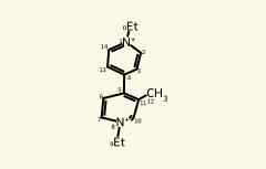 CC[n+]1ccc(-c2cc[n+](CC)cc2C)cc1